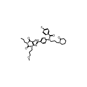 CCCn1c(=O)c2[nH]c(-c3ccc(N(CCCN4CCCCC4=O)C(=O)c4ccc(F)cc4)nc3)nc2n(CCCOC)c1=O